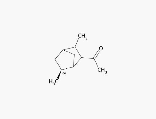 CC(=O)C1C(C)C2CC1[C@@H](C)C2